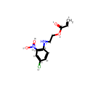 C=CC(=O)OCCNc1ccc(Cl)cc1[N+](=O)[O-]